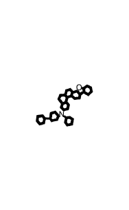 c1ccc(-c2ccc(N(c3ccccc3)c3ccc4c(ccc5ccc6c(ccc7c8ccccc8oc76)c54)c3)cc2)cc1